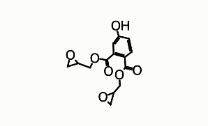 O=C(OCC1CO1)c1ccc(O)cc1C(=O)OCC1CO1